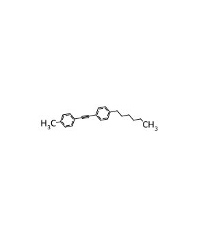 CCCCCCc1ccc(C#Cc2ccc(C)cc2)cc1